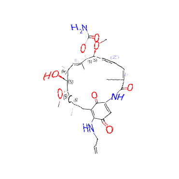 C=CCNC1=C2C[C@H](C)C[C@H](OC)[C@@H](O)[C@H](C)/C=C(\C)[C@H](OC(N)=O)[C@@H](OC)/C=C\C=C(/C)C(=O)NC(=CC1=O)C2=O